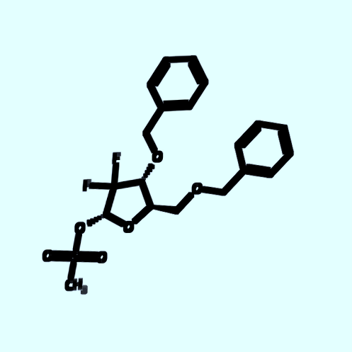 CS(=O)(=O)O[C@H]1O[C@H](COCc2ccccc2)[C@@H](OCc2ccccc2)C1(F)F